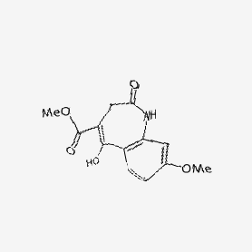 COC(=O)C1=C(O)c2ccc(OC)cc2NC(=O)C1